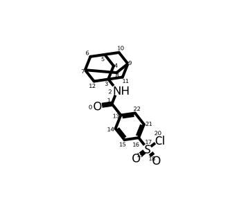 O=C(NC12CC3CC(CC(C3)C1)C2)c1ccc(S(=O)(=O)Cl)cc1